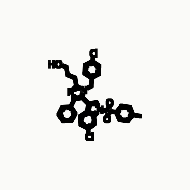 Cc1ccc(S(=O)(=O)n2cc(-c3c(-c4ccccc4)nc(CCCO)n3Cc3ccc(Cl)cc3)c3ccc(Cl)cc32)cc1